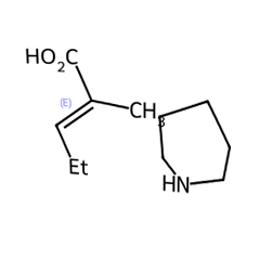 C1CCNCC1.CC/C=C(\C)C(=O)O